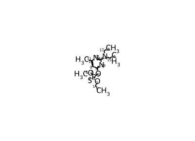 CCOP(=S)(OC)Oc1cc(C)nc(N(CC)CC)n1